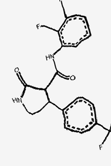 O=C1NCC(c2ccc(C(F)(F)F)cc2)C1C(=O)Nc1cccc(F)c1F